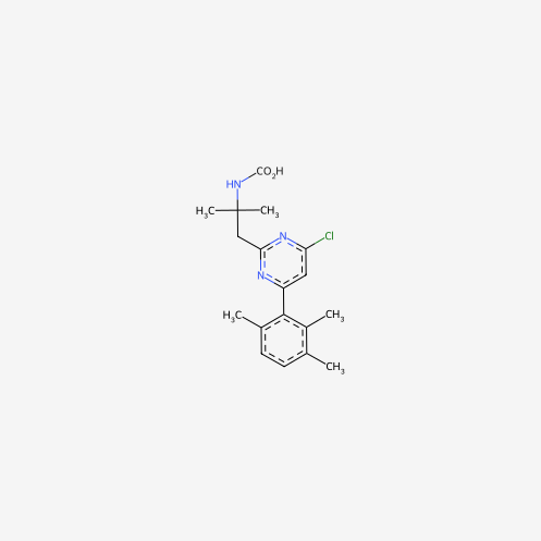 Cc1ccc(C)c(-c2cc(Cl)nc(CC(C)(C)NC(=O)O)n2)c1C